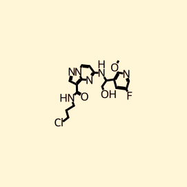 COc1ncc(F)cc1C(CO)Nc1ccn2ncc(C(=O)NCCCCl)c2n1